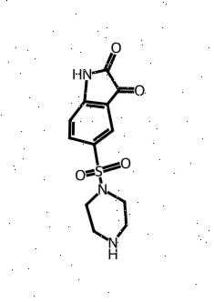 O=C1Nc2ccc(S(=O)(=O)N3CCNCC3)cc2C1=O